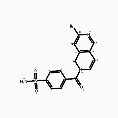 NS(=O)(=O)c1ccc(C(=O)N2C=Cc3cnc(Br)cc3C2)cc1